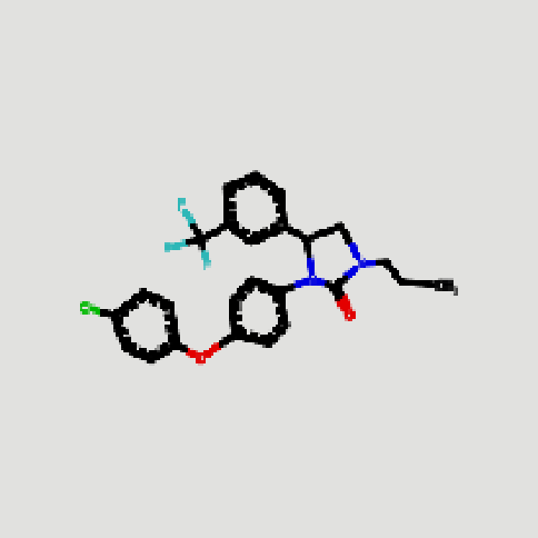 CCCN1CC(c2cccc(C(F)(F)F)c2)N(c2ccc(Oc3ccc(Cl)cc3)cc2)C1=O